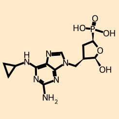 Nc1nc(NC2CC2)c2ncn(C[C@H]3C[C@@H](P(=O)(O)O)O[C@H]3O)c2n1